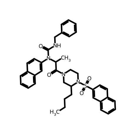 CCCCC1CN(C(=O)C(C)N(C(=O)NCc2ccccc2)c2ccc3ccccc3c2)CCN1S(=O)(=O)c1ccc2ccccc2c1